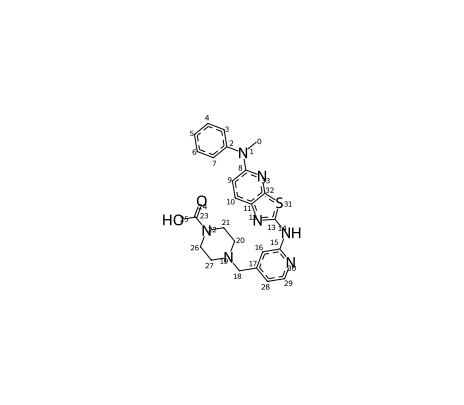 CN(c1ccccc1)c1ccc2nc(Nc3cc(CN4CCN(C(=O)O)CC4)ccn3)sc2n1